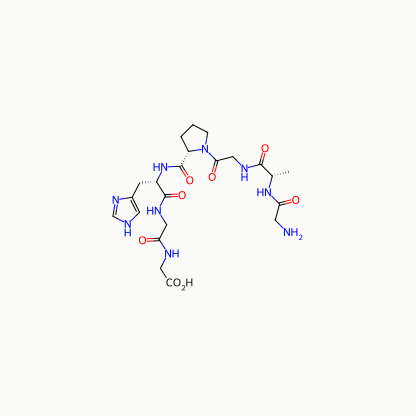 C[C@H](NC(=O)CN)C(=O)NCC(=O)N1CCC[C@H]1C(=O)N[C@@H](Cc1c[nH]cn1)C(=O)NCC(=O)NCC(=O)O